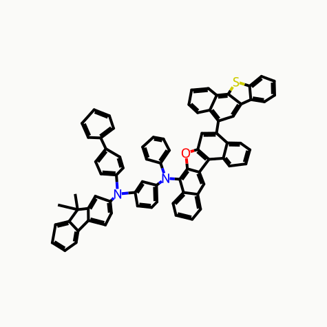 CC1(C)c2ccccc2-c2ccc(N(c3ccc(-c4ccccc4)cc3)c3cccc(N(c4ccccc4)c4c5ccccc5cc5c4oc4cc(-c6cc7c8ccccc8sc7c7ccccc67)c6ccccc6c45)c3)cc21